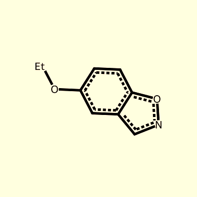 CCOc1ccc2oncc2c1